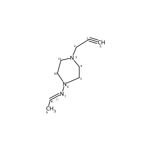 C#CCN1CCN(/N=C/C)CC1